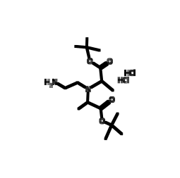 CC(C(=O)OC(C)(C)C)N(CCN)C(C)C(=O)OC(C)(C)C.Cl.Cl